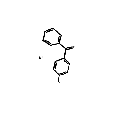 O=C(c1ccccc1)c1ccc([S-])cc1.[K+]